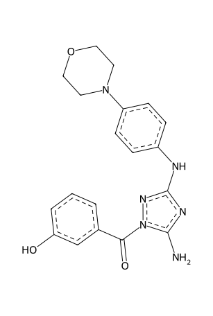 Nc1nc(Nc2ccc(N3CCOCC3)cc2)nn1C(=O)c1cccc(O)c1